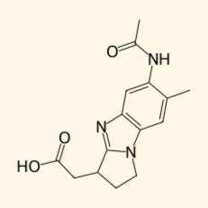 CC(=O)Nc1cc2nc3n(c2cc1C)CCC3CC(=O)O